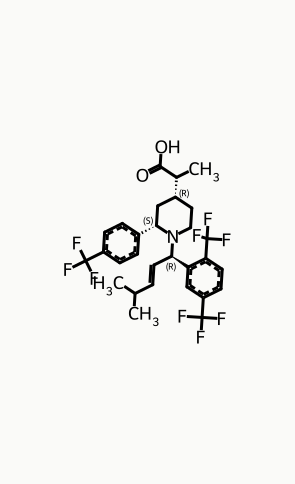 CC(C)C=C[C@H](c1cc(C(F)(F)F)ccc1C(F)(F)F)N1CC[C@@H](C(C)C(=O)O)C[C@H]1c1ccc(C(F)(F)F)cc1